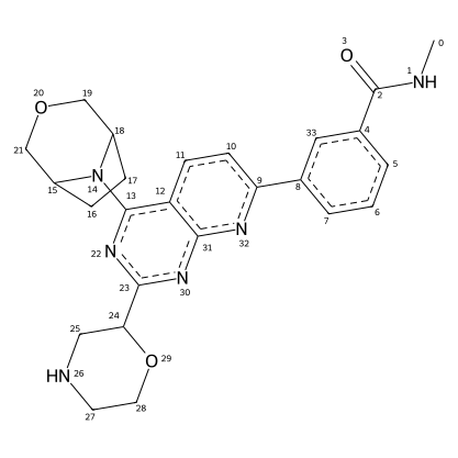 CNC(=O)c1cccc(-c2ccc3c(N4C5CCC4COC5)nc(C4CNCCO4)nc3n2)c1